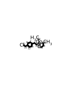 CCO[Si]1(CCc2ccc(CCl)cc2)OCCC(C)O1